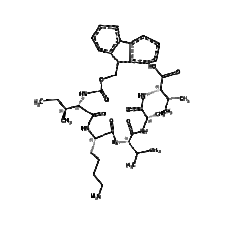 CC[C@H](C)[C@H](NC(=O)OCC1c2ccccc2-c2ccccc21)C(=O)N[C@@H](CCCCN)C(=O)N[C@H](C(=O)N[C@@H](C)C(=O)N[C@H](C(=O)O)C(C)C)C(C)C